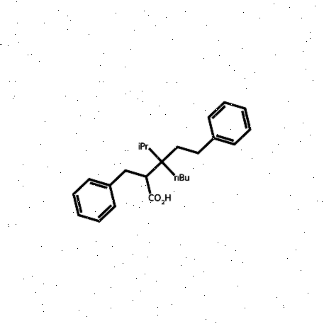 CCCCC(CCc1ccccc1)(C(C)C)C(Cc1ccccc1)C(=O)O